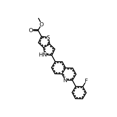 COC(=O)c1cc2[nH]c(-c3ccc4nc(-c5ccccc5F)ccc4c3)cc2s1